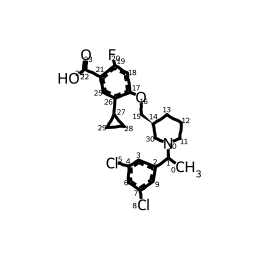 CC(c1cc(Cl)cc(Cl)c1)N1CCC[C@H](COc2cc(F)c(C(=O)O)cc2C2CC2)C1